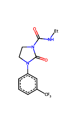 CCNC(=O)N1CCN(c2cccc(C(F)(F)F)c2)C1=O